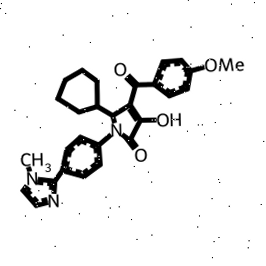 COc1ccc(C(=O)C2=C(O)C(=O)N(c3ccc(-c4nccn4C)cc3)C2C2CCCCC2)cc1